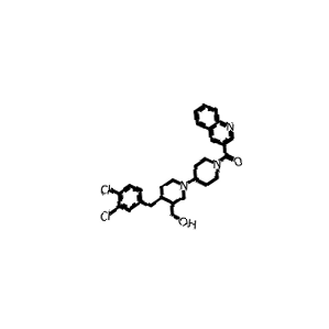 O=C(c1cnc2ccccc2c1)N1CCC(N2CCC(Cc3ccc(Cl)c(Cl)c3)C(CO)C2)CC1